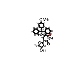 COc1ccc(C(NC2(C)CN([C@H]3C[C@H](O)[C@@H](C)O3)C(=O)NC2=O)(c2ccccc2)c2ccccc2)cc1